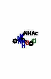 CC(=O)NCCN(C)c1nc(-c2ccccc2)nc2c1CC(COc1cccc(Cl)c1)N2